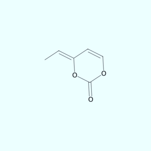 C/C=C1/C=COC(=O)O1